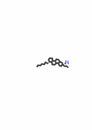 CCCCCCC[C@@H]1CCCC2C3CCC4C[C@@](C#N)(CCC)CCC4C3CCC21